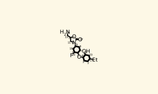 CCc1ccc(Oc2ccc(N3CC(CN)OC3=O)cc2F)c(O)c1